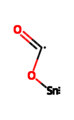 O=[C][O][Sn]